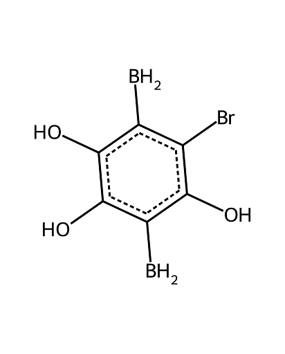 Bc1c(O)c(O)c(B)c(Br)c1O